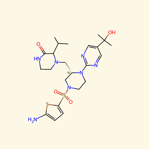 CC(C)C1C(=O)NCCN1C[C@H]1CN(S(=O)(=O)c2ccc(N)s2)CCN1c1ncc(C(C)(C)O)cn1